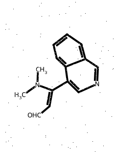 CN(C)C(=CC=O)c1cncc2ccccc12